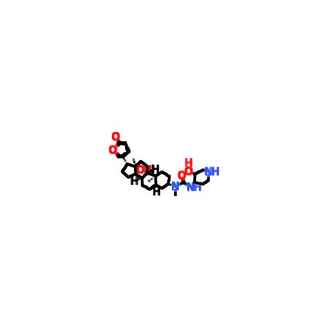 CN(C(=O)NC1CCNC[C@@H]1O)[C@H]1CC[C@@]2(C)[C@H](CC[C@@H]3[C@@H]2CC[C@]2(C)[C@@H](c4ccc(=O)oc4)CC[C@]32O)C1